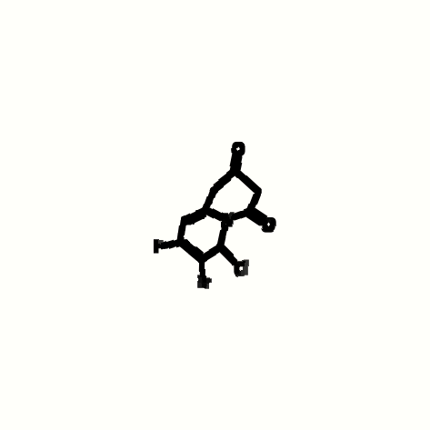 O=C1CC(=O)N2C(=CC(F)=C(Br)C2Cl)C1